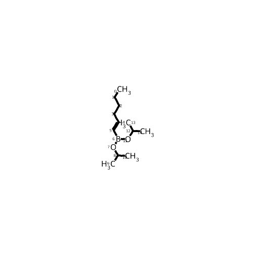 CCCCC=CB(OC(C)C)OC(C)C